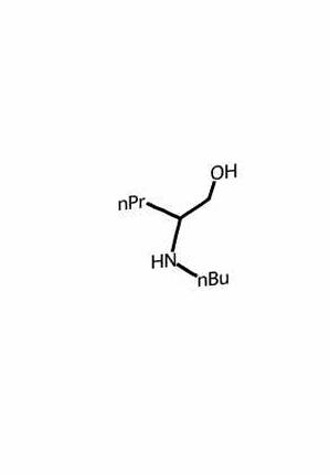 CCCCNC(CO)CCC